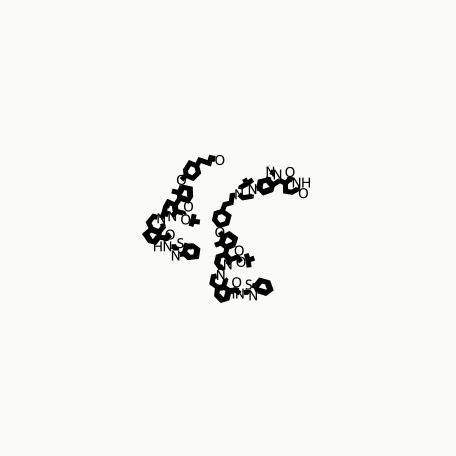 Cc1c(OC2CCC(CCC=O)CC2)cccc1-c1ccc(N2CCc3cccc(C(=O)Nc4nc5ccccc5s4)c3C2)nc1C(=O)OC(C)(C)C.Cc1c(OC2CCC(CCCN3CCN(c4ccc5c(C6CCC(=O)NC6=O)nn(C)c5c4)C(C)(C)C3)CC2)cccc1-c1ccc(N2CCc3cccc(C(=O)Nc4nc5ccccc5s4)c3C2)nc1C(=O)OC(C)(C)C